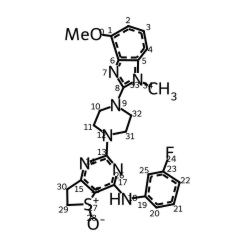 COc1cccc2c1nc(N1CCN(c3nc4c(c(Nc5cccc(F)c5)n3)[S+]([O-])CC4)CC1)n2C